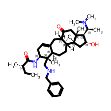 CC[C@H](C)C(=O)N[C@H]1CC=C2C[C@@H]3C(=O)C[C@]4(C)[C@@H]([C@H](C)N(C)C)[C@H](O)C[C@@]4(C)[C@@H]3CC[C@H]2[C@]1(C)CNCc1ccccc1